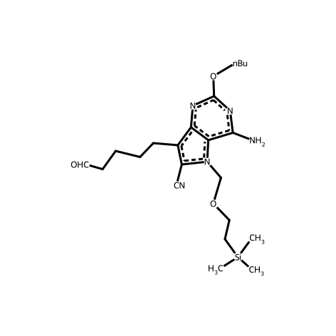 CCCCOc1nc(N)c2c(n1)c(CCCCC=O)c(C#N)n2COCC[Si](C)(C)C